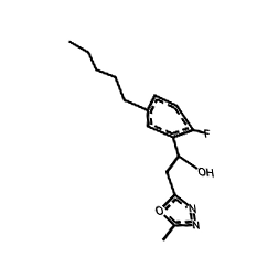 CCCCCc1ccc(F)c(C(O)Cc2nnc(C)o2)c1